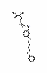 CC(CC[C@@H]1O[C@H]1/C=C\c1cccc(OCCCCOc2ccccc2)c1)C(=O)O